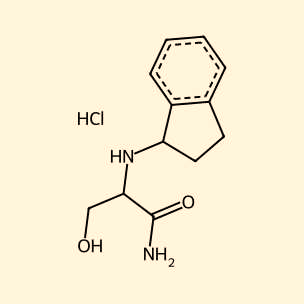 Cl.NC(=O)C(CO)NC1CCc2ccccc21